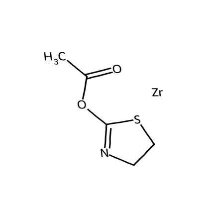 CC(=O)OC1=NCCS1.[Zr]